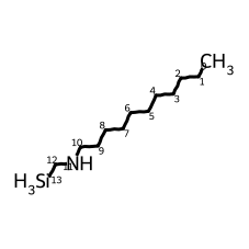 CCCCCCCCCCCNC[SiH3]